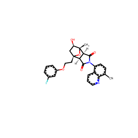 C[C@@]12O[C@@](CCOc3cccc(F)c3)(C[C@H]1O)[C@@H]1C(=O)N(c3ccc(C#N)c4ncccc34)C(=O)[C@@H]12